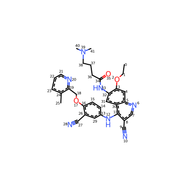 CCOc1cc2ncc(C#N)c(Nc3ccc(OCc4ncccc4C)c(C#N)c3)c2cc1NC(=O)CCCN(C)C